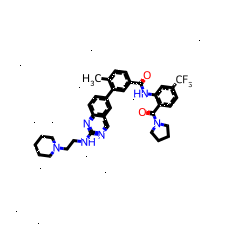 Cc1ccc(C(=O)Nc2cc(C(F)(F)F)ccc2C(=O)N2CCCC2)cc1-c1ccc2nc(NCCN3CCCCC3)ncc2c1